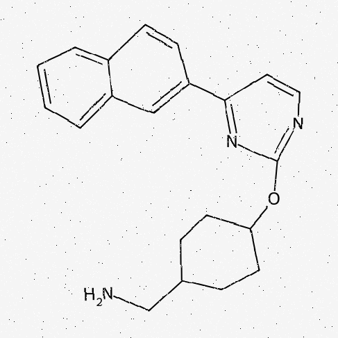 NCC1CCC(Oc2nccc(-c3ccc4ccccc4c3)n2)CC1